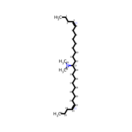 CCC/C=C\CCCCCCCCC(CCCCCCCC/C=C\CCC)N(C)C